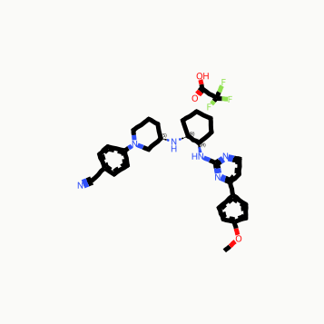 COc1ccc(-c2ccnc(N[C@@H]3CCCC[C@H]3N[C@H]3CCCN(c4ccc(C#N)cc4)C3)n2)cc1.O=C(O)C(F)(F)F